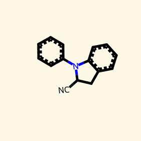 N#CC1Cc2ccccc2N1c1ccccc1